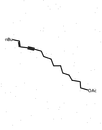 CCCCC=CC#CCCCCCCCCCCOC(C)=O